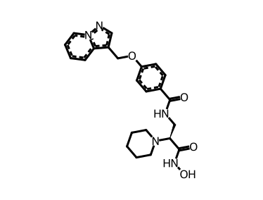 O=C(NC[C@@H](C(=O)NO)N1CCCCC1)c1ccc(OCc2cnn3ccccc23)cc1